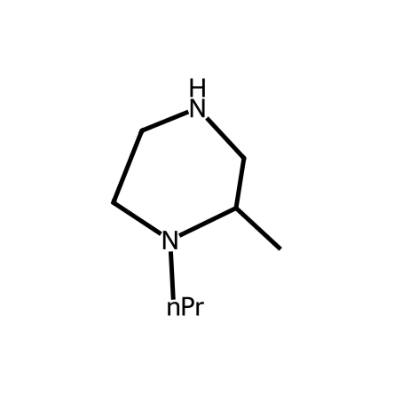 CCCN1CCNCC1C